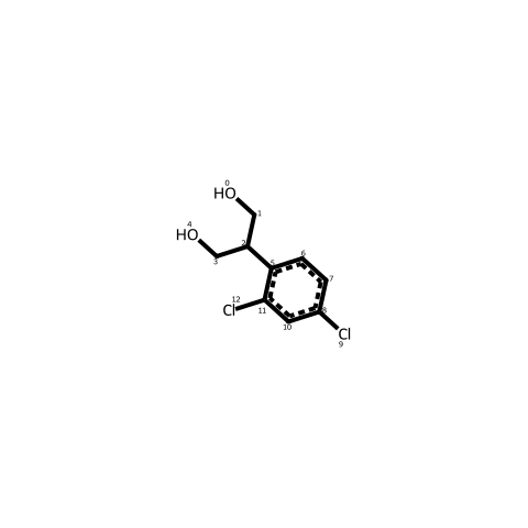 OCC(CO)c1ccc(Cl)cc1Cl